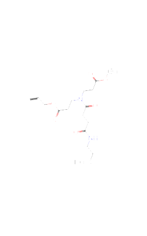 C=CCOC(=O)CCN(CCC(=O)OC(C)(C)C)C(=O)CCC(=O)NCCS(=O)(=O)O